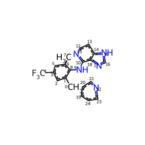 Cc1cc(C(F)(F)F)cc(C)c1Nc1nccc2[nH]cnc12.c1ccncc1